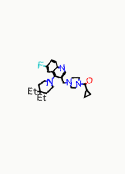 CCC1(CC)CCN(c2c(CN3CCN(C(=O)C4CC4)CC3)cnc3ccc(F)cc23)CC1